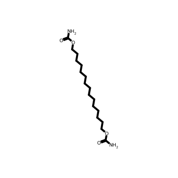 NC(=O)OCCCCCCCCCCCCCCCOC(N)=O